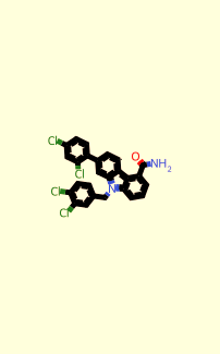 NC(=O)c1cccc2c1c1[c]cc(-c3ccc(Cl)cc3Cl)cc1n2Cc1ccc(Cl)c(Cl)c1